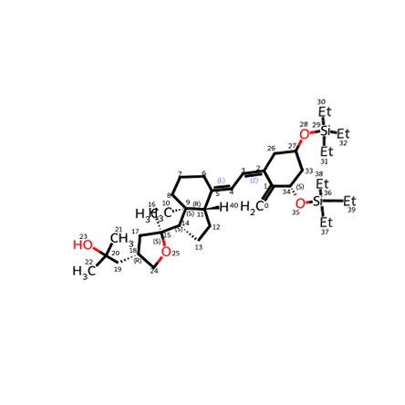 C=C1/C(=C\C=C2/CCC[C@@]3(C)[C@H]2CC[C@@H]3[C@]2(C)C[C@@H](CC(C)(C)O)CO2)CC(O[Si](CC)(CC)CC)C[C@@H]1O[Si](CC)(CC)CC